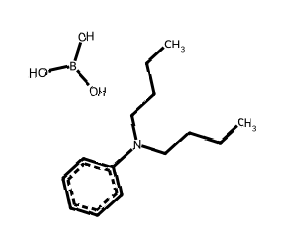 CCCCN(CCCC)c1ccccc1.OB(O)O